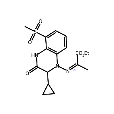 CCOC(=O)/C(C)=N\N1c2cccc(S(C)(=O)=O)c2NC(=O)C1C1CC1